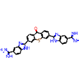 N=C(N)c1ccc2[nH]c(-c3ccc4c(=O)c5ccc(-c6nc7cc(C(=N)N)ccc7[nH]6)cc5sc4c3)nc2c1